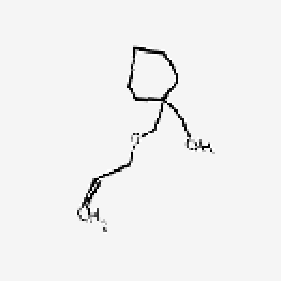 C=CCOCC1(CO)CCCCC1